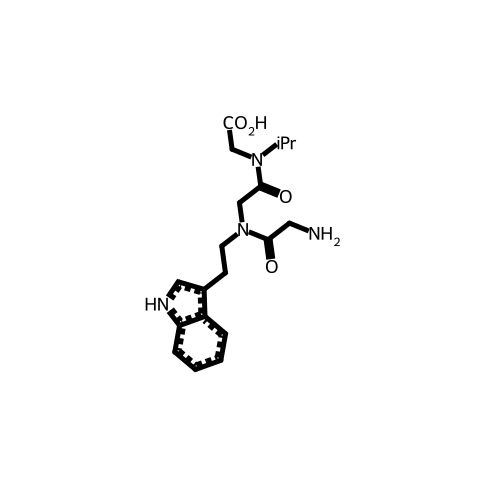 CC(C)N(CC(=O)O)C(=O)CN(CCc1c[nH]c2ccccc12)C(=O)CN